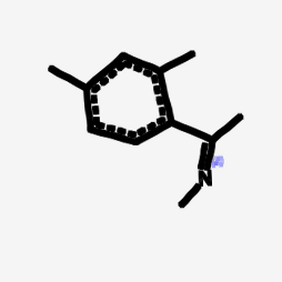 C/N=C(/C)c1ccc(C)cc1C